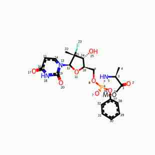 COC(=O)[C@H](C)N[P@](=O)(OC[C@H]1O[C@@H](n2ccc(=O)[nH]c2=O)[C@](C)(F)[C@@H]1O)Oc1ccccc1